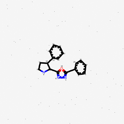 c1ccc(-c2nnc(C3[N]CCC3c3ccccc3)o2)cc1